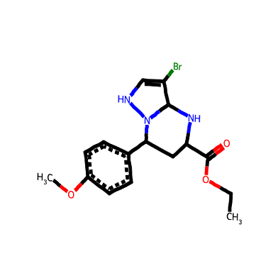 CCOC(=O)C1CC(c2ccc(OC)cc2)N2NC=C(Br)C2N1